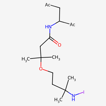 CC(=O)CC(NC(=O)CC(C)(C)OCCC(C)(C)NI)C(C)=O